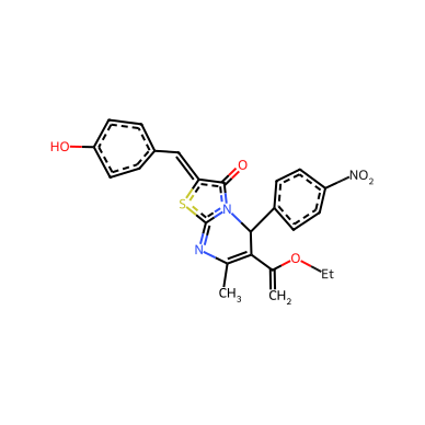 C=C(OCC)C1=C(C)N=c2s/c(=C\c3ccc(O)cc3)c(=O)n2C1c1ccc([N+](=O)[O-])cc1